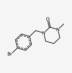 CN1CCCN(Cc2ccc(Br)cc2)C1=O